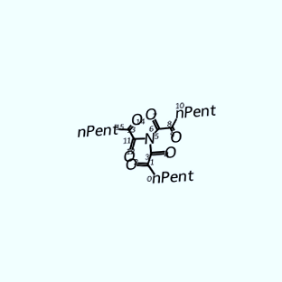 CCCCCC(=O)C(=O)N(C(=O)C(=O)CCCCC)C(=O)C(=O)CCCCC